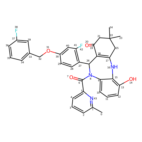 Cc1cccc(C(=O)N2c3cccc(O)c3NC3=C(C(=O)CC(C)(C)C3)C2c2ccc(OCc3cccc(F)c3)cc2F)n1